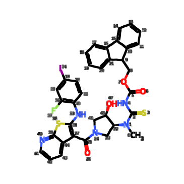 CN(C(=S)NC(=O)OCC1c2ccccc2-c2ccccc21)[C@H]1CN(C(=O)c2c(Nc3ccc(I)cc3F)sc3ncccc23)C[C@H]1O